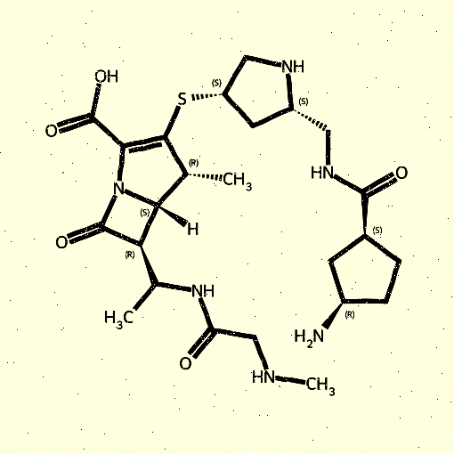 CNCC(=O)NC(C)[C@H]1C(=O)N2C(C(=O)O)=C(S[C@@H]3CN[C@H](CNC(=O)[C@H]4CC[C@@H](N)C4)C3)[C@H](C)[C@H]12